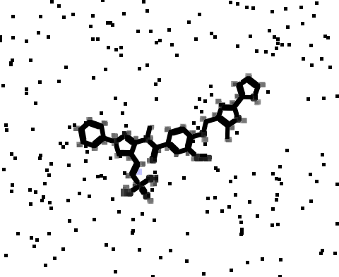 COc1cc(C(=O)N(C)c2nn(-c3ccccc3)cc2/C=C/P(=O)(O)O)ccc1OCc1nc(-c2ccco2)oc1C